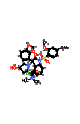 COc1ccc(S(=O)(=O)N2C(=O)C(c3cccc4c3OCO4)(N3C[C@H](O)C[C@H]3C(=O)N(C)C)c3c(Cl)cccc32)c(OC(F)(F)F)c1